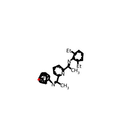 CCc1cccc(CC)c1N=C(C)c1cccc(C(C)=N[C]23[CH]4[CH]5[CH]6[CH]2[Fe]56432789[CH]3[CH]2[CH]7[CH]8[CH]39)n1